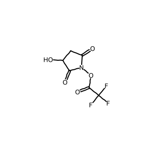 O=C1CC(O)C(=O)N1OC(=O)C(F)(F)F